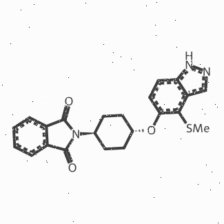 CSc1c(O[C@H]2CC[C@H](N3C(=O)c4ccccc4C3=O)CC2)ccc2[nH]ncc12